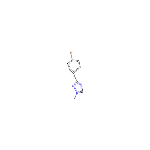 Cn1cnc(-c2ccc(Br)cc2)n1